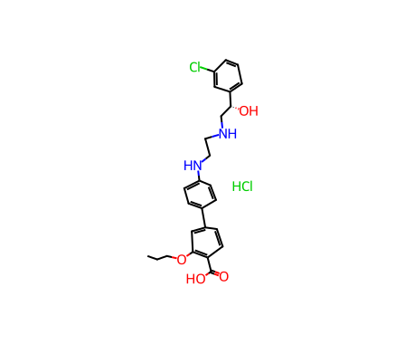 CCCOc1cc(-c2ccc(NCCNC[C@@H](O)c3cccc(Cl)c3)cc2)ccc1C(=O)O.Cl